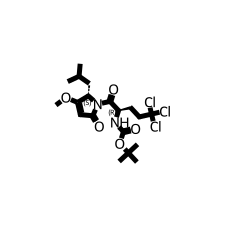 COC1=CC(=O)N(C(=O)[C@@H](CCC(Cl)(Cl)Cl)NC(=O)OC(C)(C)C)[C@H]1CC(C)C